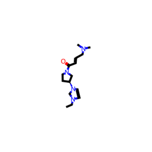 CCN1C=CN([C@H]2CCN(C(=O)/C=C/CN(C)C)C2)C1